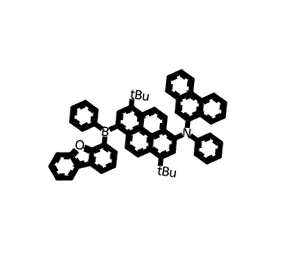 CC(C)(C)c1cc(B(c2ccccc2)c2cccc3c2oc2ccccc23)c2ccc3c(C(C)(C)C)cc(N(c4ccccc4)c4cc5ccccc5c5ccccc45)c4ccc1c2c43